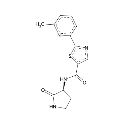 Cc1cccc(-c2ncc(C(=O)N[C@H]3CCNC3=O)s2)n1